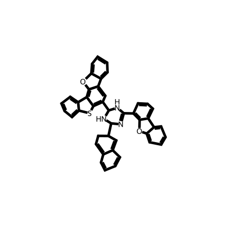 C1=c2ccccc2=CC(C2N=C(c3cccc4c3oc3ccccc34)NC(c3cc4c5ccccc5oc4c4c3sc3ccccc34)N2)C1